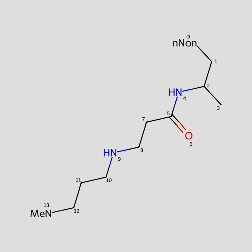 CCCCCCCCCCC(C)NC(=O)CCNCCCNC